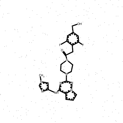 Cn1cnc(Nc2nc(N3CCN(C(=O)Cc4c(F)cc(CO)cc4F)CC3)nn3cccc23)c1